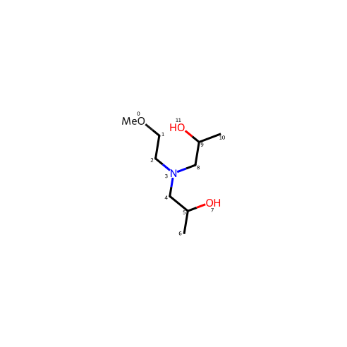 COCCN(CC(C)O)CC(C)O